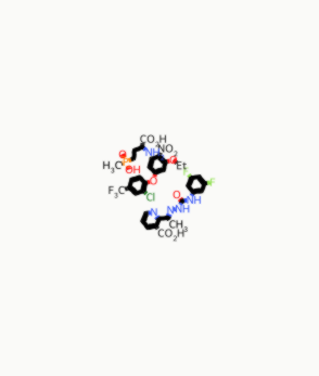 C/C(=N\NC(=O)Nc1cc(F)cc(F)c1)c1ncccc1C(=O)O.CCOc1cc(Oc2ccc(C(F)(F)F)cc2Cl)ccc1[N+](=O)[O-].CP(=O)(O)CCC(N)C(=O)O